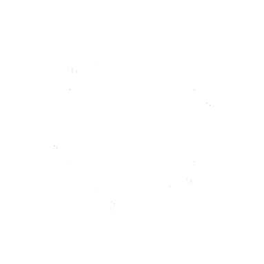 CN1C(C)(C)CC(c2cc(C3CC(C)(C)NC(C)(C)C3)c(C3CC(C)(C)N(C)C(C)(C)C3)c(C3CC(C)(C)NC(C)(C)C3)c2C2CC(C)(C)NC(C)(C)C2)CC1(C)C